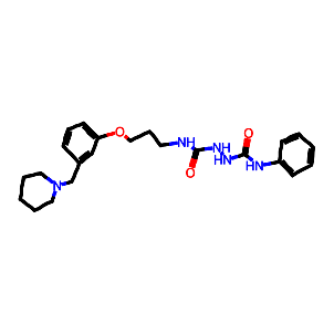 O=C(NCCCOc1cccc(CN2CCCCC2)c1)NNC(=O)Nc1ccccc1